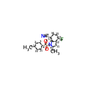 Cc1ccc(S(=O)(=O)n2c(C)cc3c(F)ccc(C#N)c32)cc1